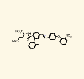 CSCCC(NC(=O)c1ccc(/C=C/c2ccc(Oc3ccccc3[N+](=O)[O-])cc2)cc1-c1ccccc1C)C(=O)O